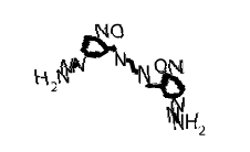 NN=Nc1ccc(N=O)c(/C=N/CC/N=C/c2cc(N=NN)ccc2N=O)c1